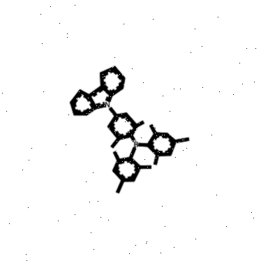 Cc1cc(C)c(B(c2c(C)cc(C)cc2C)c2c(C)cc(-n3c4ccccc4c4ccccc43)cc2C)c(C)c1